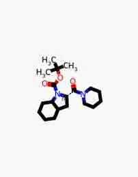 CC(C)(C)OC(=O)N1C2CCCCC2C[C@H]1C(=O)N1CCCCC1